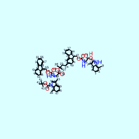 Cc1cccc2c(C[C@H](NC(=O)OCC3c4ccccc4-c4cc(CCC(C)(C)OC(=O)[C@H](Cc5cn(C(=O)OC(C)(C)C)c6c(C)cccc56)NC(=O)OCC5c6ccccc6-c6ccccc65)ccc43)C(=O)O)c[nH]c12